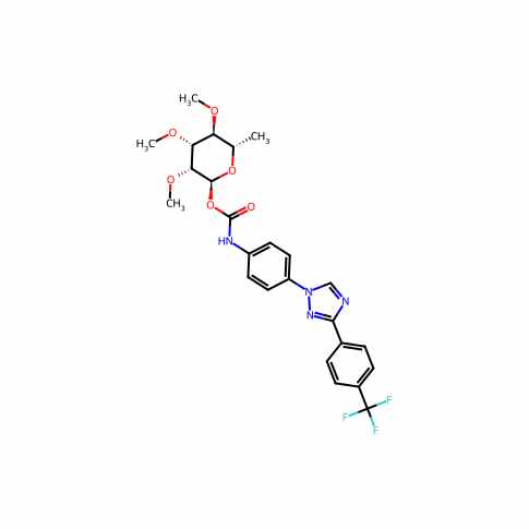 CO[C@@H]1[C@@H](OC)[C@H](C)O[C@@H](OC(=O)Nc2ccc(-n3cnc(-c4ccc(C(F)(F)F)cc4)n3)cc2)[C@@H]1OC